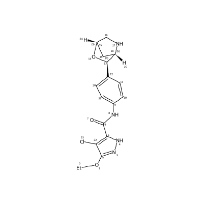 CCOc1n[nH]c(C(=O)Nc2ccc([C@H]3O[C@@H]4CN[C@H]3C4)cc2)c1Cl